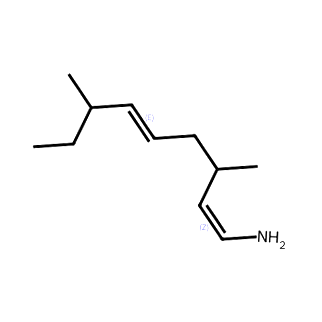 CCC(C)/C=C/CC(C)/C=C\N